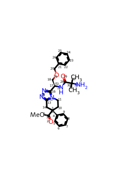 COC(=O)[C@@]1(c2ccccc2)CCn2c(nnc2[C@@H](COCc2ccccc2)NC(=O)C(C)(C)N)C1